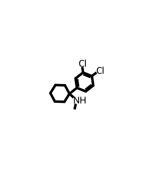 CNC1(c2ccc(Cl)c(Cl)c2)CCCCC1